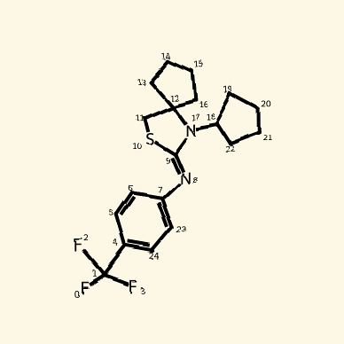 FC(F)(F)c1ccc(N=C2SCC3(CCCC3)N2C2CCCC2)cc1